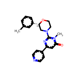 Cc1cccc([C@H]2CN(c3nc(-c4ccncc4)cc(=O)n3C)CCO2)c1